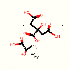 CC(O)C(=O)O.O=C(O)CC(O)(CC(=O)O)C(=O)O.[Ag].[Ag]